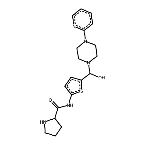 O=C(Nc1ccc(C(O)N2CCN(c3ccccn3)CC2)s1)C1CCCN1